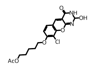 CC(=O)OCCCCCOc1ccc2c(c1Cl)OC1=NC(O)NC(=O)C1=C2